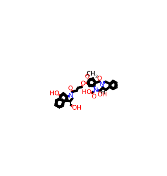 COc1cc2c(cc1OCCCC(=O)N1C[C@@H](CO)c3c1cc(O)c1ccccc31)N(C(=O)O)C(O)[C@@H]1Cc3ccccc3CN1C2=O